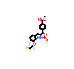 COC(=O)c1ccc(C2OC(=O)NC2Cc2cccc(OC(F)(F)C(F)F)c2)cc1